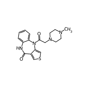 CN1CCN(CC(=O)N2c3ccccc3NC(=O)c3cscc32)CC1